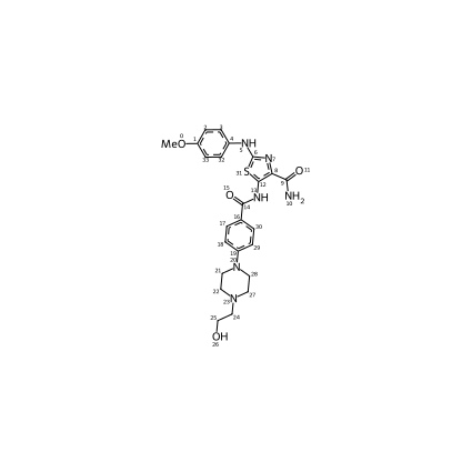 COc1ccc(Nc2nc(C(N)=O)c(NC(=O)c3ccc(N4CCN(CCO)CC4)cc3)s2)cc1